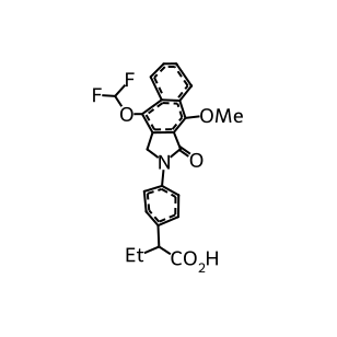 CCC(C(=O)O)c1ccc(N2Cc3c(c(OC)c4ccccc4c3OC(F)F)C2=O)cc1